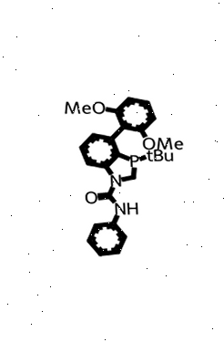 COc1cccc(OC)c1-c1cccc2c1P(C(C)(C)C)CN2C(=O)Nc1ccccc1